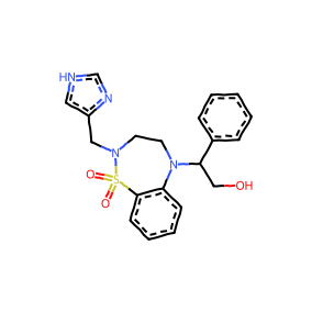 O=S1(=O)c2ccccc2N(C(CO)c2ccccc2)CCN1Cc1c[nH]cn1